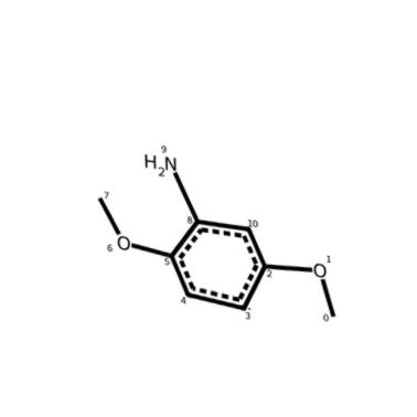 COc1[c]cc(OC)c(N)c1